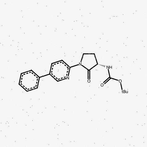 CC(C)(C)OC(=O)N[C@H]1CCN(c2ccc(-c3[c]cccc3)cn2)C1=O